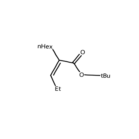 CCC=C(CCCCCC)C(=O)OC(C)(C)C